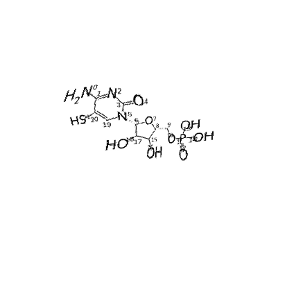 Nc1nc(=O)n([C@@H]2O[C@H](COP(=O)(O)O)C(O)C2O)cc1S